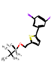 CC(C)(C)[Si](C)(C)OCc1ccc(-c2cc(I)cc(I)c2)s1